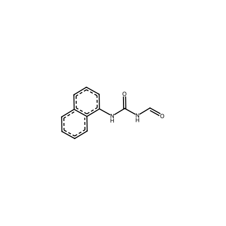 O=CNC(=O)Nc1cccc2ccccc12